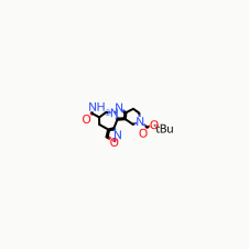 CC(C)(C)OC(=O)N1CCc2nn3c(c2C1)-c1nocc1CC(C(N)=O)C3